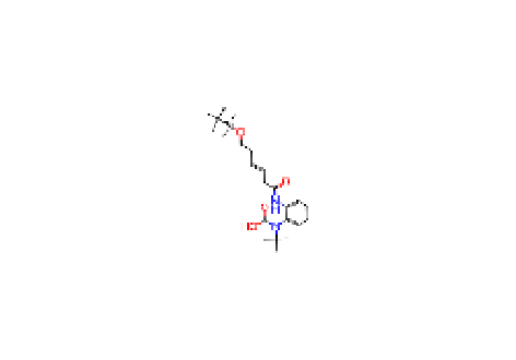 CC(C)(C)N(C(=O)O)c1ccccc1NC(=O)CC=CCCO[Si](C)(C)C(C)(C)C